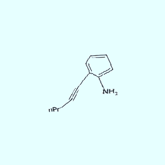 CCCC#Cc1ccccc1N